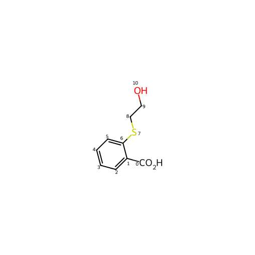 O=C(O)c1ccccc1SCCO